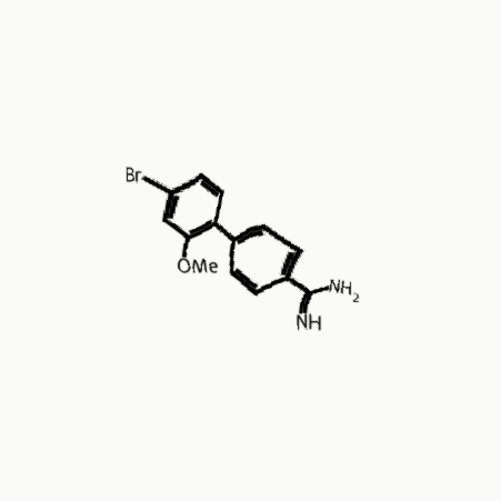 COc1cc(Br)ccc1-c1ccc(C(=N)N)cc1